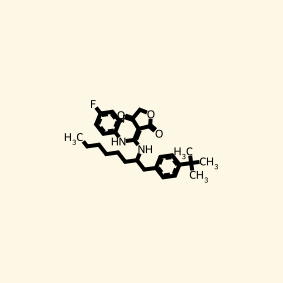 CCCCCCC(Cc1ccc(C(C)(C)C)cc1)NC(Nc1ccc(F)cc1F)=C1C(=O)COC1=O